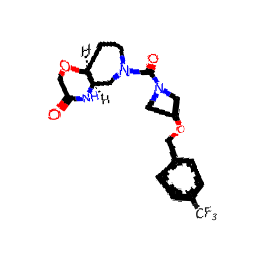 O=C1CO[C@H]2CCN(C(=O)N3CC(OCc4ccc(C(F)(F)F)cc4)C3)C[C@H]2N1